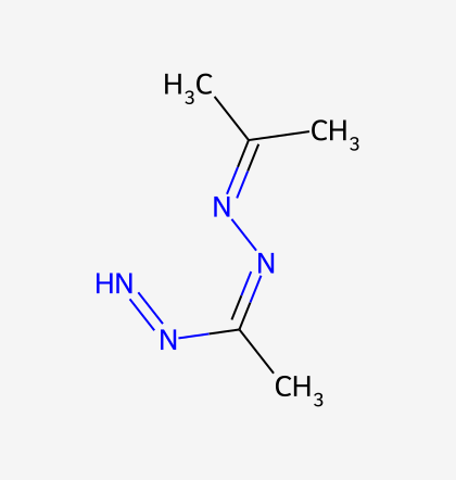 CC(C)=N/N=C(/C)N=N